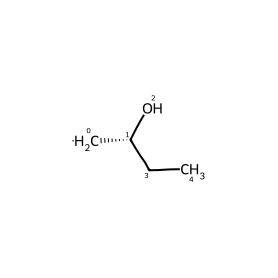 [CH2][C@H](O)CC